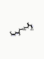 C=C(/C=C\CC)CCNC/C(C)=C/C=C\C